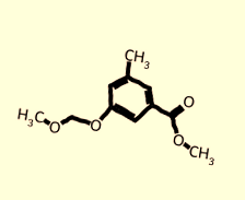 COCOc1cc(C)cc(C(=O)OC)c1